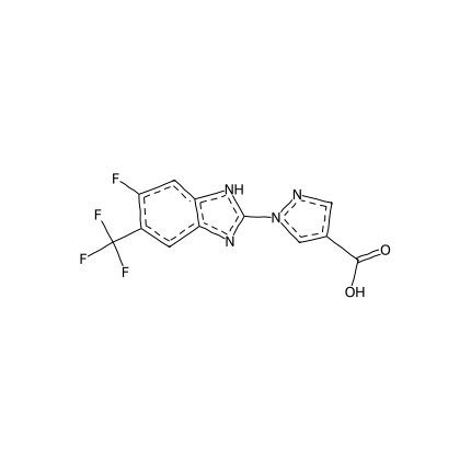 O=C(O)c1cnn(-c2nc3cc(C(F)(F)F)c(F)cc3[nH]2)c1